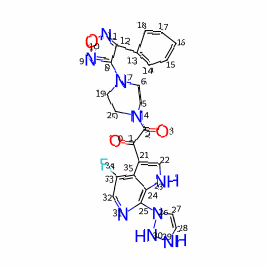 O=C(C(=O)N1CCN(c2nonc2-c2ccccc2)CC1)c1c[nH]c2c(N3C=CNN3)ncc(F)c12